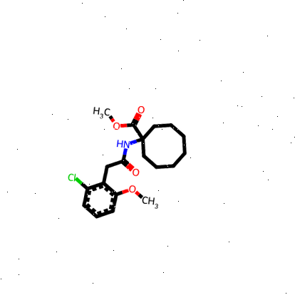 COC(=O)C1(NC(=O)Cc2c(Cl)cccc2OC)CCCCCCC1